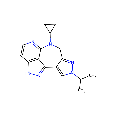 CC(C)n1cc2c(n1)CN(C1CC1)c1nccc3[nH]nc-2c13